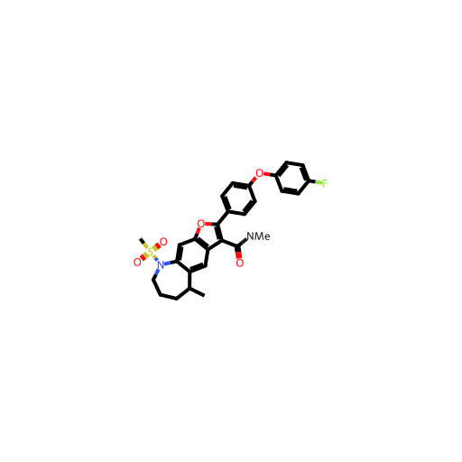 CNC(=O)c1c(-c2ccc(Oc3ccc(F)cc3)cc2)oc2cc3c(cc12)C(C)CCCN3S(C)(=O)=O